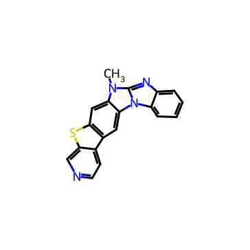 Cn1c2cc3sc4cnccc4c3cc2n2c3ccccc3nc12